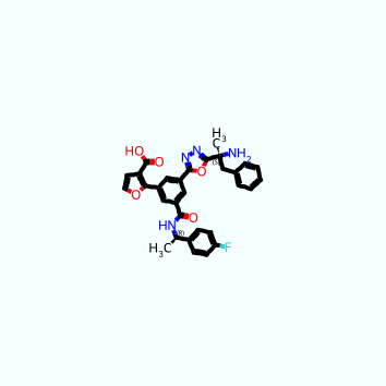 C[C@@H](NC(=O)c1cc(-c2nnc([C@@](C)(N)Cc3ccccc3)o2)cc(-c2occc2C(=O)O)c1)c1ccc(F)cc1